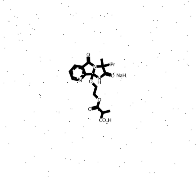 CC(C(=O)O)C(=O)OCCOC12NC(=O)C(C)(C(C)C)N1C(=O)c1cccnc12.[NaH]